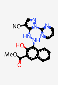 COC(=O)c1cc2ccccc2c(NNc2c(C#N)cnn2-c2ncccn2)c1O